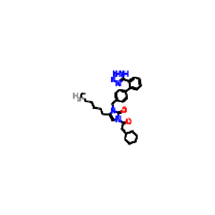 CCCCCCc1cn(C(=O)CC2CCCCC2)c(=O)n1Cc1ccc(-c2ccccc2-c2nnn[nH]2)cc1